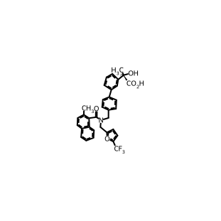 Cc1ccc2ccccc2c1C(=O)N(Cc1ccc(-c2cccc([C@](C)(O)C(=O)O)c2)cc1)Cc1ccc(C(F)(F)F)o1